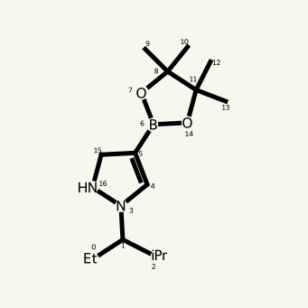 CCC(C(C)C)N1C=C(B2OC(C)(C)C(C)(C)O2)CN1